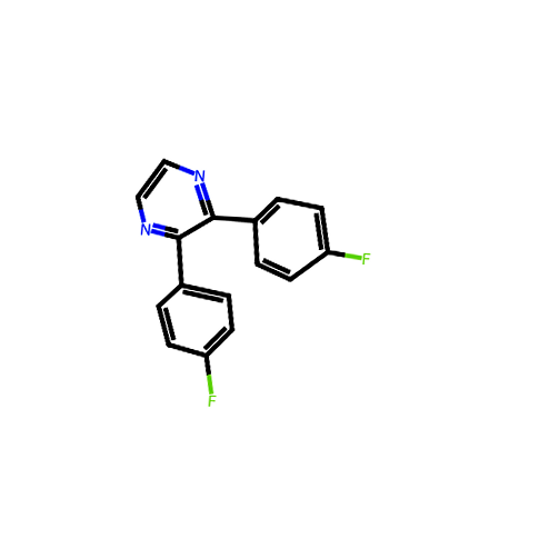 Fc1ccc(-c2nccnc2-c2ccc(F)cc2)cc1